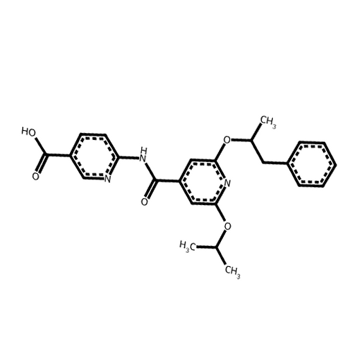 CC(C)Oc1cc(C(=O)Nc2ccc(C(=O)O)cn2)cc(OC(C)Cc2ccccc2)n1